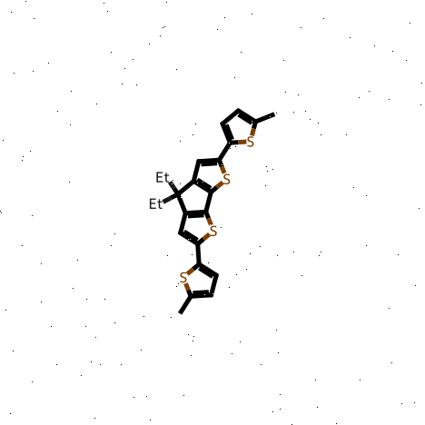 CCC1(CC)c2cc(-c3ccc(C)s3)sc2-c2sc(-c3ccc(C)s3)cc21